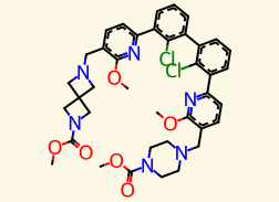 COC(=O)N1CCN(Cc2ccc(-c3cccc(-c4cccc(-c5ccc(CN6CC7(C6)CN(C(=O)OC)C7)c(OC)n5)c4Cl)c3Cl)nc2OC)CC1